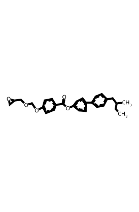 CCC(C)Cc1ccc(-c2ccc(OC(=O)c3ccc(OCOCC4CO4)cc3)cc2)cc1